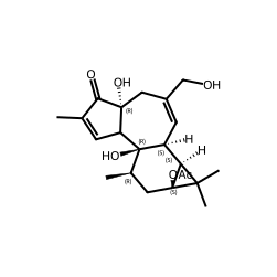 CC(=O)O[C@@]12C[C@@H](C)[C@]3(O)C4C=C(C)C(=O)[C@@]4(O)CC(CO)=C[C@H]3[C@H]1C2(C)C